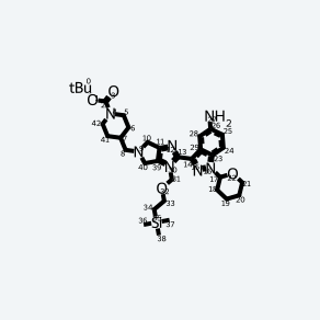 CC(C)(C)OC(=O)N1CCC(CN2Cc3nc(-c4nn(C5CCCCO5)c5ccc(N)cc45)n(COCC[Si](C)(C)C)c3C2)CC1